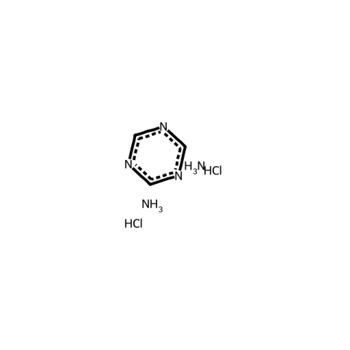 Cl.Cl.N.N.c1ncncn1